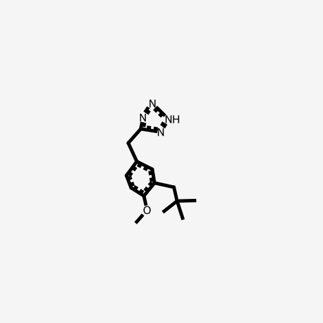 COc1ccc(Cc2nn[nH]n2)cc1CC(C)(C)C